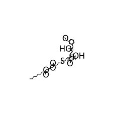 CCCCCCCC(=O)OCCOC(=O)CCCSCC[C@H]1C(=O)C[C@@H](O)[C@@H]1C=C[C@@H](O)Cc1cccc(COC)c1